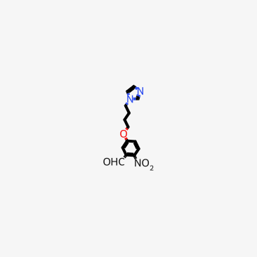 O=Cc1cc(OCCCCn2ccnc2)ccc1[N+](=O)[O-]